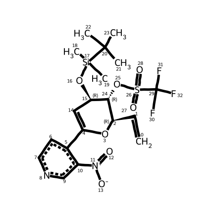 C=C[C@H]1OC(c2ccncc2[N+](=O)[O-])=C[C@@H](O[Si](C)(C)C(C)(C)C)[C@@H]1OS(=O)(=O)C(F)(F)F